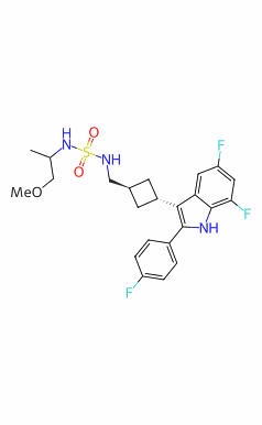 COCC(C)NS(=O)(=O)NC[C@H]1C[C@H](c2c(-c3ccc(F)cc3)[nH]c3c(F)cc(F)cc32)C1